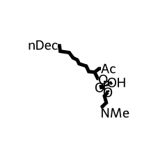 CCCCCCCCCCCCCCCCCCC(COP(=O)(O)OCCCNC)CC(C)=O